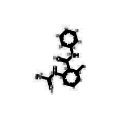 Cc1cccc(NC(=O)C(C)C)c1C(=O)Nc1ccccc1